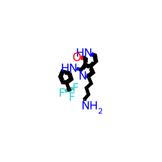 NCCCCc1cc2cc[nH]c(=O)c2c(Nc2cccc(C(F)(F)F)c2)n1